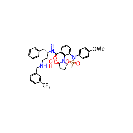 COc1ccc(N(c2cccc(C(=O)N[C@@H](Cc3ccccc3)[C@H](O)CNCc3cccc(C(F)(F)F)c3)c2N2CCCC2=O)S(C)(=O)=O)cc1